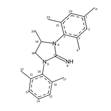 Cc1cc(C)c(N2C(=N)N(c3c(C)cccc3C)CC2C)c(C)c1